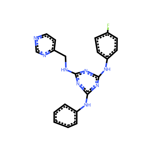 Fc1ccc(Nc2nc(NCc3ccncn3)nc(Nc3ccccc3)n2)cc1